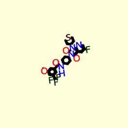 COc1cc(C(=O)NC2CCC(n3c(=O)c4cc(F)cnc4n(C4CCSCC4)c3=O)CC2)cc(C(F)(F)F)c1